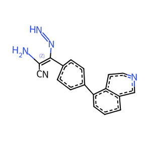 N#C/C(N)=C(/N=N)c1ccc(-c2cccc3cnccc23)cc1